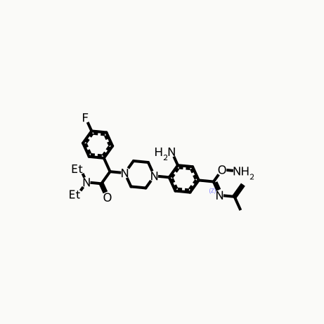 C=C(C)/N=C(\ON)c1ccc(N2CCN(C(C(=O)N(CC)CC)c3ccc(F)cc3)CC2)c(N)c1